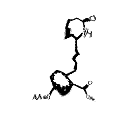 COC(=O)c1cc(OC)ccc1/C=C/CC1CCCCC(=O)N1